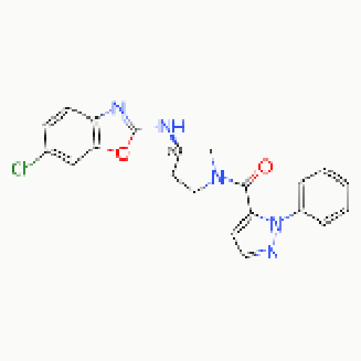 O=C(c1ccnn1-c1ccccc1)N1CC[C@@H](Nc2nc3ccc(Cl)cc3o2)C1